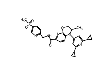 C[C@@H]1COc2nc(C(=O)NCc3ccc(S(C)(=O)=O)cn3)ccc2N1c1cc(C2CC2)nc(C2CC2)c1